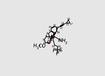 COC1CCC2(CC1)Cc1ccc(C#CC3CC3)cc1C21N=C(N)N(CCC(F)(F)F)C1=O